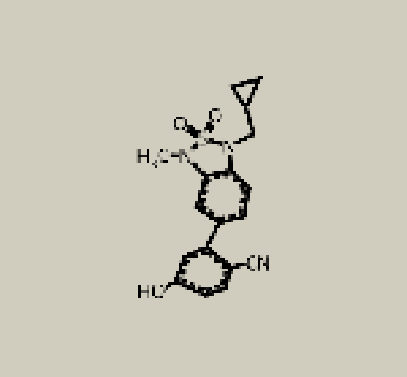 CN1c2cc(-c3cc(O)ccc3C#N)ccc2N(CC2CC2)S1(=O)=O